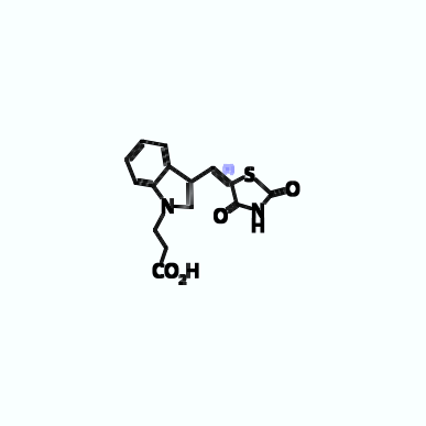 O=C(O)CCn1cc(/C=C2/SC(=O)NC2=O)c2ccccc21